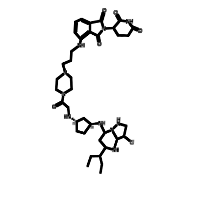 CCC(CC)C1CC(N[C@H]2CC[C@H](NCC(=O)N3CCN(CCCNc4cccc5c4C(=O)N(C4CCC(=O)NC4=O)C5=O)CC3)C2)N2NCC(Cl)C2N1